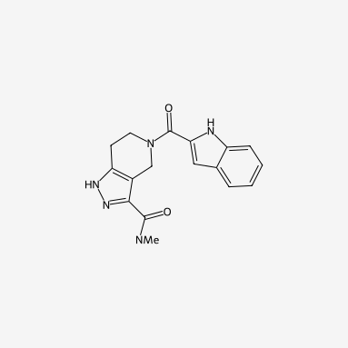 CNC(=O)c1n[nH]c2c1CN(C(=O)c1cc3ccccc3[nH]1)CC2